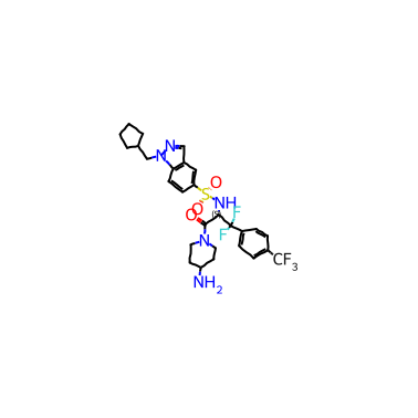 NC1CCN(C(=O)[C@H](NS(=O)(=O)c2ccc3c(cnn3CC3CCCC3)c2)C(F)(F)c2ccc(C(F)(F)F)cc2)CC1